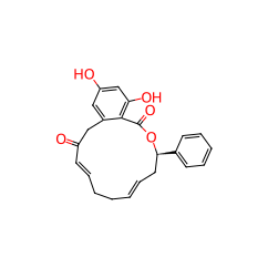 O=C1/C=C/CC/C=C/C[C@H](c2ccccc2)OC(=O)c2c(O)cc(O)cc2C1